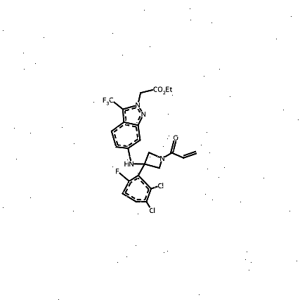 C=CC(=O)N1CC(Nc2ccc3c(C(F)(F)F)n(CC(=O)OCC)nc3c2)(c2c(F)ccc(Cl)c2Cl)C1